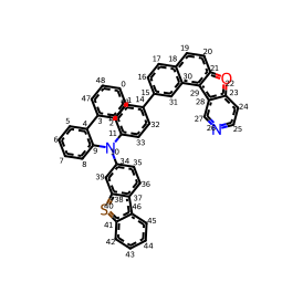 c1ccc(-c2ccccc2N(c2ccc(-c3ccc4ccc5oc6ccncc6c5c4c3)cc2)c2ccc3c(c2)sc2ccccc23)cc1